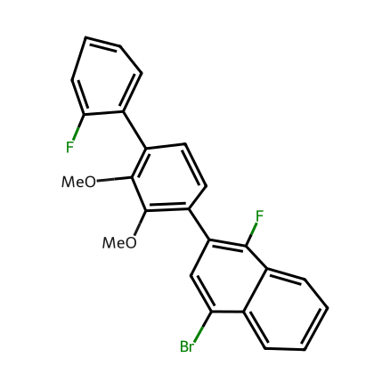 COc1c(-c2ccccc2F)ccc(-c2cc(Br)c3ccccc3c2F)c1OC